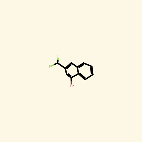 FC(F)c1cc(Br)c2ccccc2c1